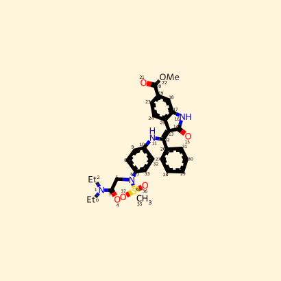 CCN(CC)C(=O)CN(c1ccc(NC(=C2C(=O)Nc3cc(C(=O)OC)ccc32)c2ccccc2)cc1)S(C)(=O)=O